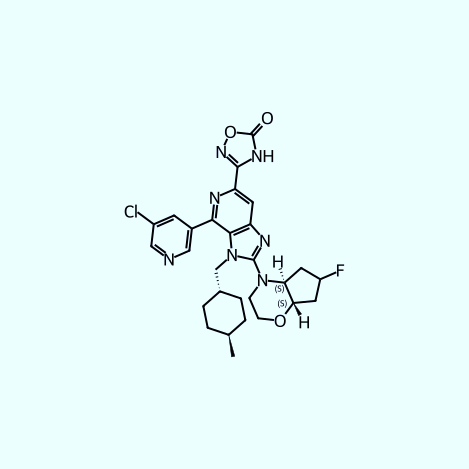 C[C@H]1CC[C@H](Cn2c(N3CCO[C@H]4CC(F)C[C@@H]43)nc3cc(-c4noc(=O)[nH]4)nc(-c4cncc(Cl)c4)c32)CC1